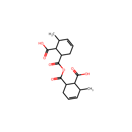 CC1C=CCC(C(=O)OC(=O)C2CC=CC(C)C2C(=O)O)C1C(=O)O